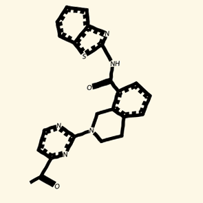 CC(=O)c1ccnc(N2CCc3cccc(C(=O)Nc4nc5ccccc5s4)c3C2)n1